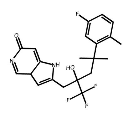 Cc1ccc(F)cc1C(C)(C)CC(O)(CC1=CC2C=NC(=O)C=C2N1)C(F)(F)F